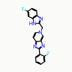 Fc1ccc2nc(Cn3ccc4nc(-c5ccccc5F)nc-4c3)[nH]c2c1